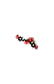 COc1ccc(C=CC(=O)CS(=O)(=O)c2cc3ccc(OC)cc3sc2=O)cc1